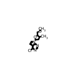 COCC1OC(n2ccc3c(Cl)ncnc32)CC1C